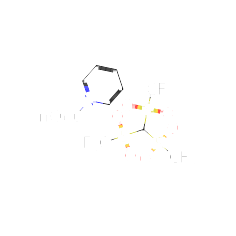 CCCCCCCC[n+]1ccccc1.O=S(=O)(C(S(=O)(=O)C(F)(F)F)S(=O)(=O)C(F)(F)F)C(F)(F)F